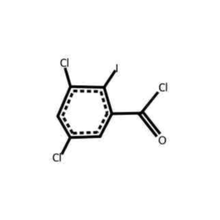 O=C(Cl)c1cc(Cl)cc(Cl)c1I